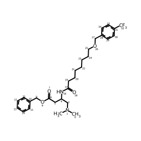 CN(C)CC(CC(=O)OCc1ccccc1)NC(=O)CCCCCCCOCc1ccc(C(F)(F)F)cc1